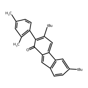 Cc1ccc(C2=C(C(C)(C)C)C=C3C(=Cc4ccc(C(C)(C)C)cc43)C2=O)c(C)c1